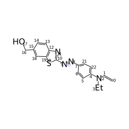 C=CN(CC)c1ccc(/N=N/c2nc3ccc(CO)cc3s2)cc1